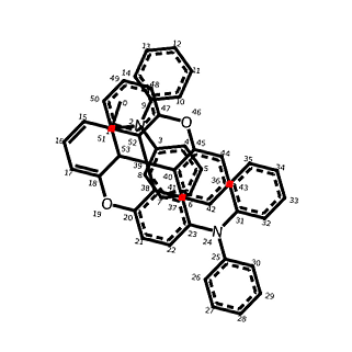 CC1(N(c2ccccc2)c2ccccc2)C=CC=C2Oc3ccc(N(c4ccccc4)c4ccccc4)cc3C3(c4ccccc4Oc4ccccc43)C21